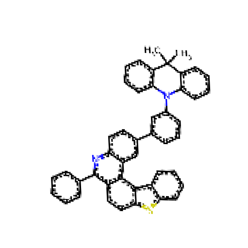 CC1(C)c2ccccc2N(c2cccc(-c3ccc4nc(-c5ccccc5)c5ccc6sc7ccccc7c6c5c4c3)c2)c2ccccc21